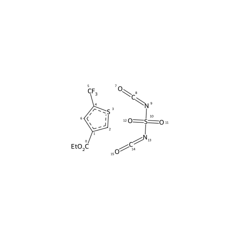 CCOC(=O)c1csc(C(F)(F)F)c1.O=C=NS(=O)(=O)N=C=O